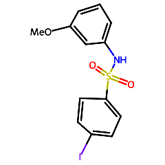 COc1cccc(NS(=O)(=O)c2ccc(I)cc2)c1